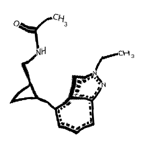 CCn1cc2c(C3CC3CNC(C)=O)cccc2n1